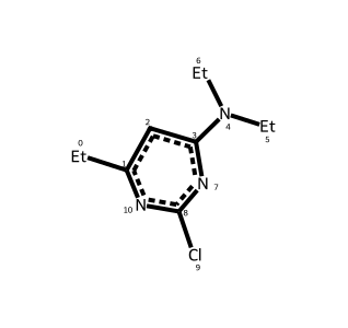 CCc1cc(N(CC)CC)nc(Cl)n1